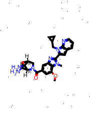 COc1cc(C(=O)N2C[C@H]3C[C@H](N)[C@@H]2[C@@H]3N)cc2nc(-c3cc4cccnc4n3CC3CC3)n(C)c12